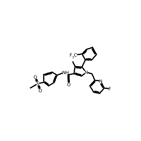 Cc1c(C(=O)Nc2ccc(S(C)(=O)=O)cc2)cn(Cc2cccc(F)n2)c1-c1ccccc1C(F)(F)F